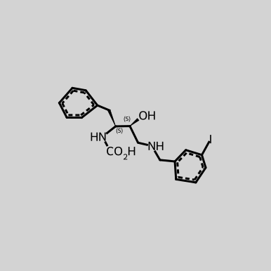 O=C(O)N[C@@H](Cc1ccccc1)[C@@H](O)CNCc1cccc(I)c1